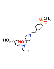 CN(CC1(O)CCN(CCc2ccc(S(C)(=O)=O)cc2)CC1)c1ccc(C(=O)O)cc1